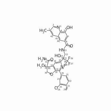 Cc1cnc2c(O)cc(C(=O)NC[C@](O)(c3cc4c(c(-c5ccc(F)c(Cl)c5)n3)OC[C@]4(C)C(N)=O)C(F)(F)F)cc2c1